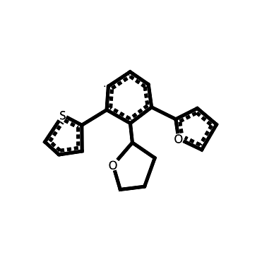 [c]1ccc(-c2ccco2)c(C2CCCO2)c1-c1cccs1